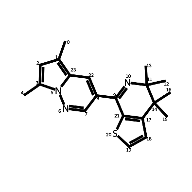 Cc1cc(C)n2ncc(C3=NC(C)(C)C(C)(C)c4ccsc43)cc12